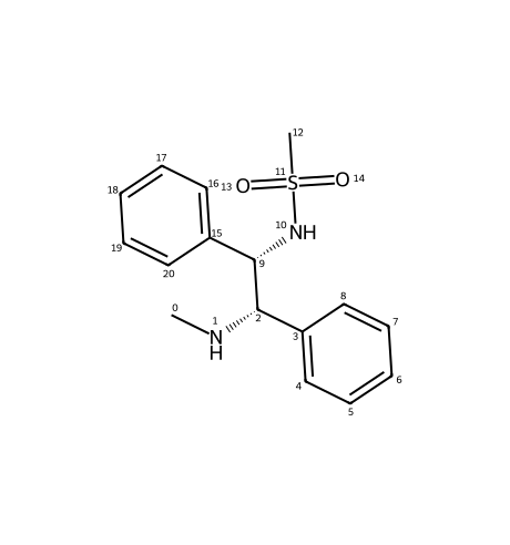 CN[C@@H](c1ccccc1)[C@@H](NS(C)(=O)=O)c1ccccc1